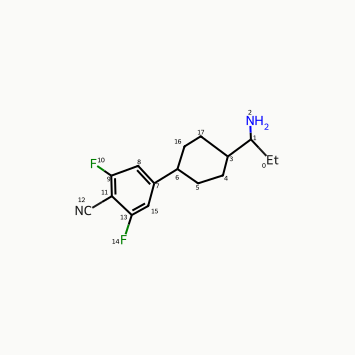 CCC(N)C1CCC(c2cc(F)c(C#N)c(F)c2)CC1